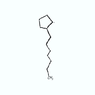 CCCCCCCC1[CH]CCC1